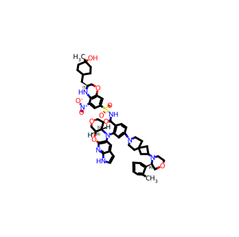 Cc1ccccc1[C@@H]1COCCN1C1CC2(CCN(c3ccc(C(=O)NS(=O)(=O)c4cc5c(c([N+](=O)[O-])c4)N[C@@H](CC4CCC(C)(O)CC4)CO5)c(N4c5cc6cc[nH]c6nc5O[C@H]5COCC[C@@H]54)c3)CC2)C1